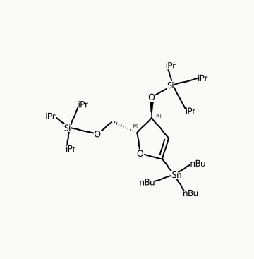 CCC[CH2][Sn]([CH2]CCC)([CH2]CCC)[C]1=C[C@H](O[Si](C(C)C)(C(C)C)C(C)C)[C@@H](CO[Si](C(C)C)(C(C)C)C(C)C)O1